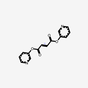 O=C(/C=C/C(=O)Oc1cccnc1)Oc1cccnc1